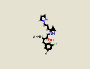 CC(=O)NC(Cc1cc(F)cc(F)c1)C(O)CNC1(CCCN2CCC=N2)CC1